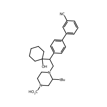 CC(C)(C)C1CN(C(=O)O)CCN1CC(c1ccc(-c2cccc(C#N)c2)cc1)C1(O)CCCCC1